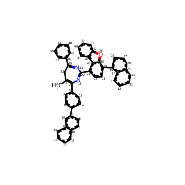 CC1=C(c2ccc(-c3ccc4ccccc4c3)cc2)N=C(c2ccc(-c3cccc4ccccc34)c3oc4ccccc4c23)N=C(c2ccccc2)C1